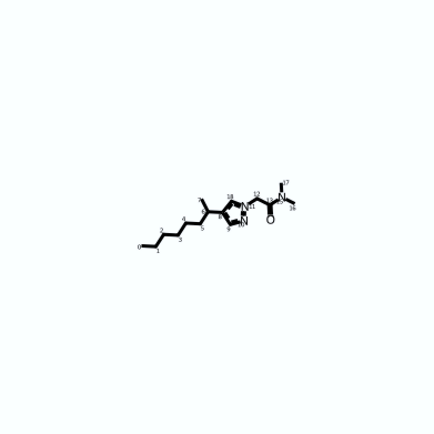 CCCCCCC(C)c1cnn(CC(=O)N(C)C)c1